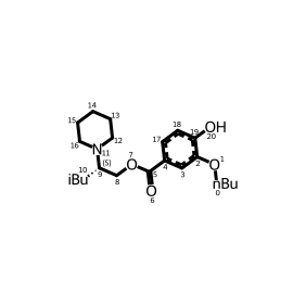 CCCCOc1cc(C(=O)OC[C@H](C(C)CC)N2CCCCC2)ccc1O